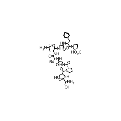 CC[C@H](C)[C@H](NC(=O)CNC(=O)[C@@H]1CCCN1C(=O)[C@H](CO)NC(=O)[C@@H](N)CO)C(=O)N[C@@H](CC(N)=O)C(=O)NCC(=O)N[C@@H](Cc1ccccc1)C(=O)N1CCC[C@H]1C(=O)O